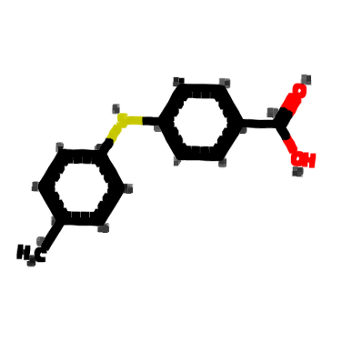 Cc1ccc(Sc2ccc(C(=O)O)cc2)cc1